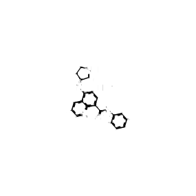 Cl.O=C(Nc1ccccc1)c1ccc(N[C@H]2CCNC2)c2cccnc12